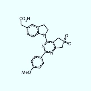 COc1ccc(-c2nc3c(c(N4CCc5cc(CC(=O)O)ccc54)n2)CS(=O)(=O)C3)cc1